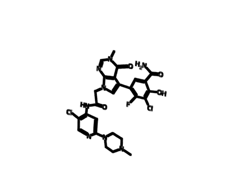 CN1CCN(c2cc(NC(=O)Cn3cc(-c4cc(C(N)=O)c(O)c(Cl)c4F)c4c(=O)n(C)cnc43)c(Cl)cn2)CC1